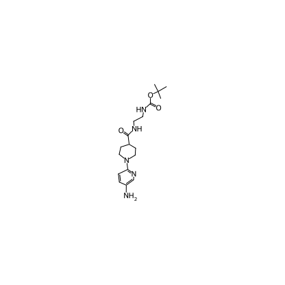 CC(C)(C)OC(=O)NCCNC(=O)C1CCN(c2ccc(N)cn2)CC1